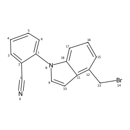 N#Cc1ccccc1-n1ccc2c(CBr)cccc21